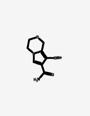 COc1c(C(N)=O)cn2c1COCC2